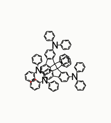 c1ccc(N(c2ccccc2)c2ccc3c(c2)C(c2ccccc2)(C2(c4ccccc4)c4cc(N(c5ccccc5)c5ccccc5)ccc4-c4ccc(N(c5ccccc5)c5ccccc5)cc42)c2cc(N(c4ccccc4)c4ccccc4)ccc2-3)cc1